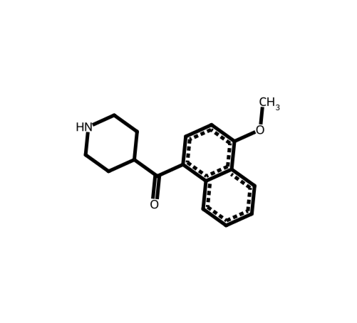 COc1ccc(C(=O)C2CCNCC2)c2ccccc12